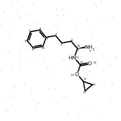 N[C@H](CCCc1ccccc1)NC(=O)OC1CC1